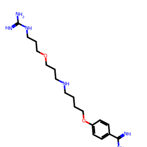 N=C(N)NCCCOCCCNCCCCOc1ccc(C(=N)N)cc1